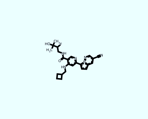 CC(C)(O)C(F)CNC(=O)c1cnc(-c2ccc3cc(C#N)cnn23)cc1NCC1CCC1